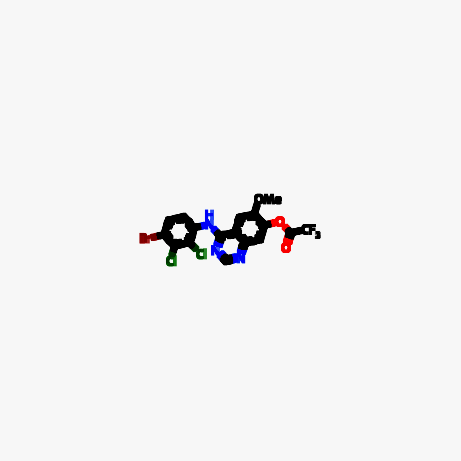 COc1cc2c(Nc3ccc(Br)c(Cl)c3Cl)ncnc2cc1OC(=O)C(F)(F)F